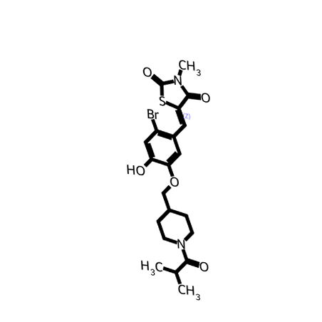 CC(C)C(=O)N1CCC(COc2cc(/C=C3\SC(=O)N(C)C3=O)c(Br)cc2O)CC1